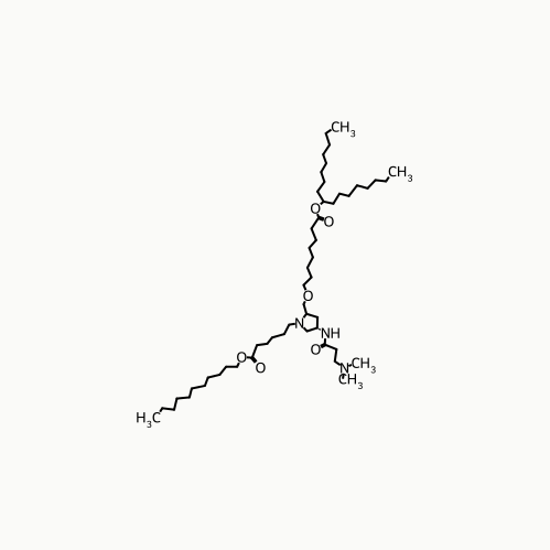 CCCCCCCCCCCOC(=O)CCCCCN1C[C@@H](NC(=O)CCN(C)C)CC1COCCCCCCCC(=O)OC(CCCCCCCC)CCCCCCCC